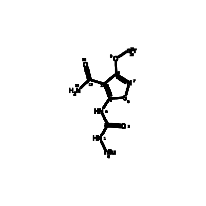 CCCCNC(=O)Nc1snc(OCCC)c1C(N)=O